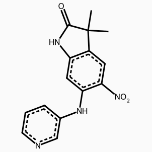 CC1(C)C(=O)Nc2cc(Nc3cccnc3)c([N+](=O)[O-])cc21